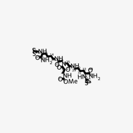 COC(=O)NCCC(=O)N(CC(=O)NCCCCC(NC1SS1)C(N)=O)CC(=O)NCCCCC(NC1SS1)C(N)=O